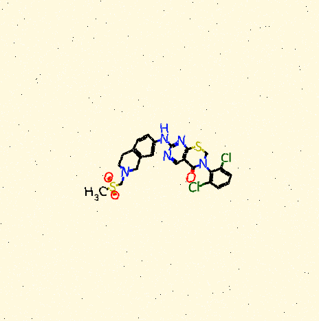 CS(=O)(=O)CN1CCc2ccc(Nc3ncc4c(n3)SCN(c3c(Cl)cccc3Cl)C4=O)cc2C1